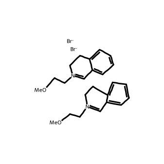 COCC[N+]1=Cc2ccccc2CC1.COCC[N+]1=Cc2ccccc2CC1.[Br-].[Br-]